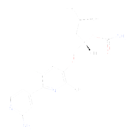 Cc1nc(-c2ccnc(N)c2)c(F)cc1OC[C@](C)(CC(C)C)OC(N)=O